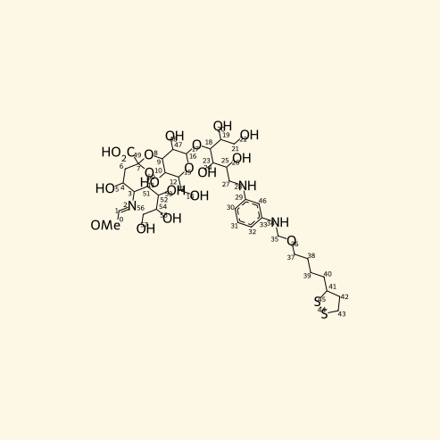 COC=NC1C(O)CC(OC2C(O)C(CO)OC(OC(C(O)CO)C(O)C(O)CNc3cccc(NCOCCCCC4CCSS4)c3)C2O)(C(=O)O)OC1C(O)C(O)CO